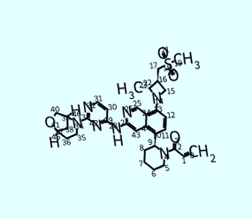 C=CC(=O)N1CCCC[C@H]1c1ccc(N2C[C@H](CS(C)(=O)=O)[C@H]2C)c2cnc(Nc3ccnc(N4CC[C@H]5C[C@@H]4CO5)n3)cc12